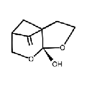 C=C1C2CO[C@@]3(O)OCC1C3C2